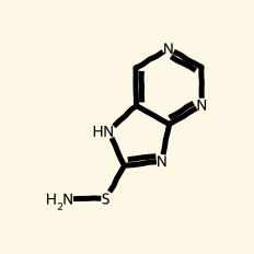 NSc1nc2ncncc2[nH]1